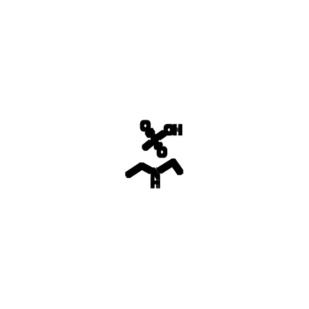 CCNCC.CS(=O)(=O)O